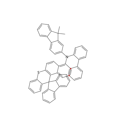 CC1(C)c2ccccc2-c2ccc(N(c3ccccc3-c3ccccc3)c3cccc4c5c(ccc34)Sc3ccccc3C53c4ccccc4-c4ccccc43)cc21